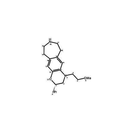 CCC[C@H]1CN(CCOC)c2cc3c(cc2O1)CCNCC3